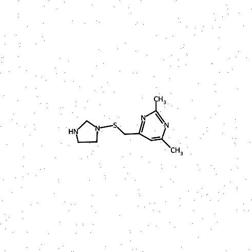 Cc1cc(CSN2CCNC2)nc(C)n1